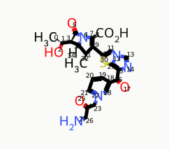 C[C@@H](O)[C@H]1C(=O)N2C(C(=O)O)=C(c3cn4cnc(C(=O)c5ccc[n+](CC(=O)CN)c5)c4s3)[C@H](C)[C@H]12